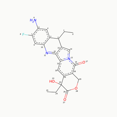 CCC1c2cc(N)c(F)cc2N=c2c1cn1c(=O)c3c(cc21)C(O)(CC)C(=O)OC3